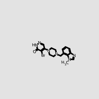 Cn1cnc2cccc(CN3CCN(c4cn[nH]c(=O)c4Br)CC3)c21